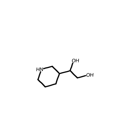 OCC(O)C1CCCNC1